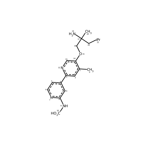 Cc1cc(-c2ccnc(NC(=O)O)c2)ncc1OCC(C)(N)CC(C)C